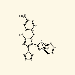 CCCc1nc(-n2cccc2)c(-c2c3c4ccccc4n2C3=O)n1Cc1ccc(C(=O)O)cc1